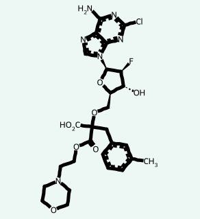 Cc1cccc(CC(OC[C@H]2O[C@@H](n3cnc4c(N)nc(Cl)nc43)[C@@H](F)[C@@H]2O)(C(=O)O)C(=O)OCCN2CCOCC2)c1